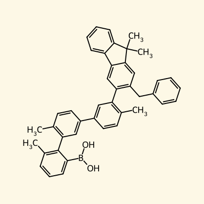 Cc1ccc(-c2ccc(C)c(-c3c(C)cccc3B(O)O)c2)cc1-c1cc2c(cc1Cc1ccccc1)C(C)(C)c1ccccc1-2